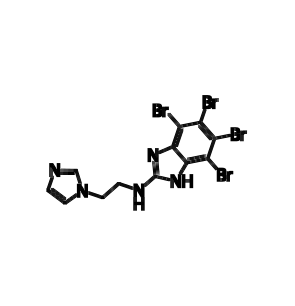 Brc1c(Br)c(Br)c2[nH]c(NCCn3ccnc3)nc2c1Br